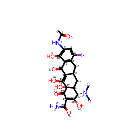 CC(=O)Nc1cc(I)c2c(c1O)C(=O)C1=C(O)C3(O)C(=O)C(C(N)=O)=C(O)[C@@H](N(C)C)C3CC1C2